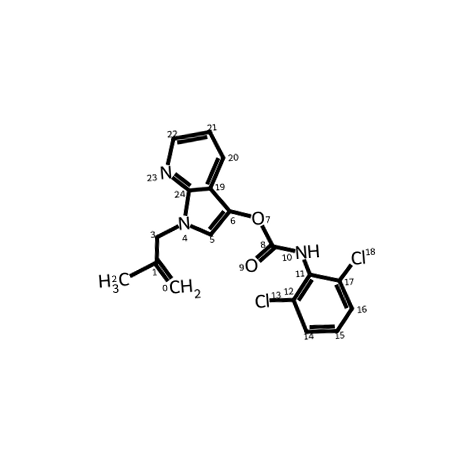 C=C(C)Cn1cc(OC(=O)Nc2c(Cl)cccc2Cl)c2cccnc21